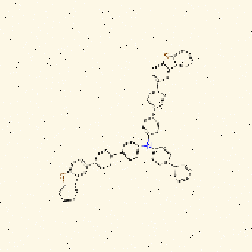 c1ccc(-c2ccc(N(c3ccc(-c4ccc(-c5ccc6sc7ccccc7c6c5)cc4)cc3)c3ccc(-c4ccc(-c5ccc6sc7ccccc7c6c5)cc4)cc3)cc2)cc1